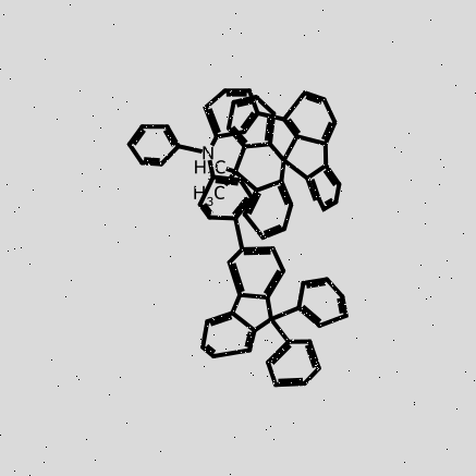 CC1(C)c2ccccc2C2(c3ccccc3-c3cccc(-c4cccc(N(c5ccccc5)c5ccc(-c6ccc7c(c6)-c6ccccc6C7(c6ccccc6)c6ccccc6)cc5)c4)c32)c2ccccc21